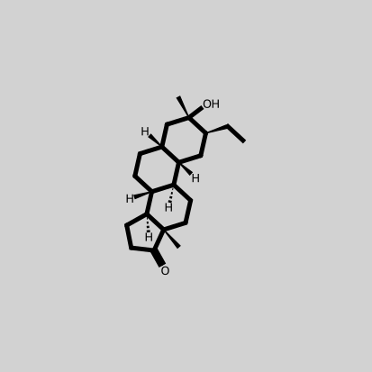 CC[C@H]1C[C@H]2[C@H](CC[C@@H]3[C@@H]2CC[C@]2(C)C(=O)CC[C@@H]32)C[C@]1(C)O